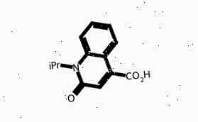 CC(C)n1c(=O)cc(C(=O)O)c2ccccc21